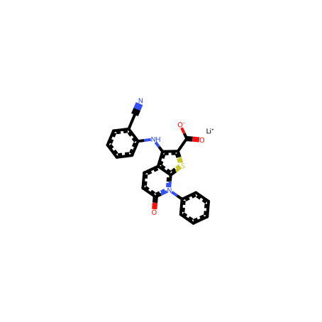 N#Cc1ccccc1Nc1c(C(=O)[O-])sc2c1ccc(=O)n2-c1ccccc1.[Li+]